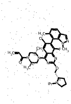 C=CC(=O)N1C[C@H](C)N(c2nc(OC[C@@H]3CCCN3C(C)C)nc3c(F)c(-c4c(C)ccc5cnn(C)c45)c(Cl)cc23)C[C@H]1C